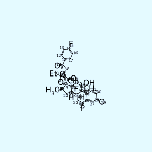 CCC(=O)O[C@]1(C(=O)SCC(=O)c2ccc(F)cc2)[C@H](C)C[C@H]2[C@@H]3C[C@H](F)C4=CC(=O)C=C[C@]4(C)[C@@]3(F)[C@@H](O)C[C@@]21C